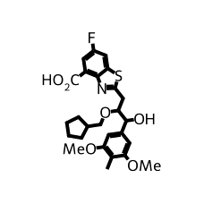 COc1cc(C(O)C(Cc2nc3c(C(=O)O)cc(F)cc3s2)OCC2CCCC2)cc(OC)c1C